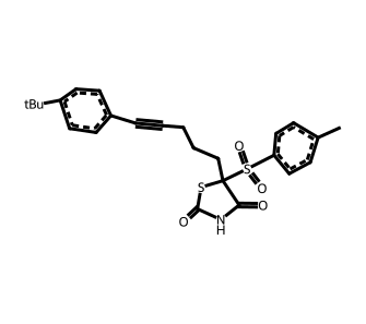 Cc1ccc(S(=O)(=O)C2(CCCC#Cc3ccc(C(C)(C)C)cc3)SC(=O)NC2=O)cc1